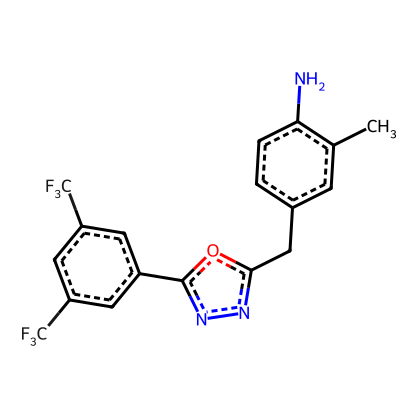 Cc1cc(Cc2nnc(-c3cc(C(F)(F)F)cc(C(F)(F)F)c3)o2)ccc1N